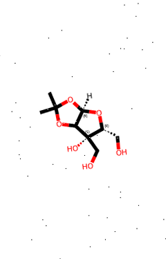 CC1(C)OC2[C@H](O[C@H](CO)[C@@]2(O)CO)O1